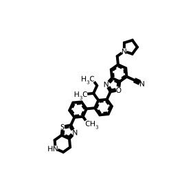 CCC(C)c1c(-c2nc3cc(CN4CCCC4)cc(C#N)c3o2)cccc1-c1cccc(-c2nc3c(s2)CNCC3)c1C